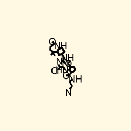 COc1cccc(C(=O)NCCC#N)c1Nc1nc(Nc2ccc3c(c2)C(C)(C)CCC(=O)N3)ncc1Cl